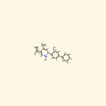 CCCC1=CC(c2ccc(-c3ccccc3)cc2C)N(C)C=C1[SiH](C)C